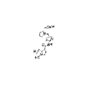 COC[C@H]1CCCN1Cc1cnc(NC(=O)C2CCN(C#N)C2C)s1